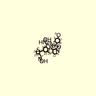 COc1ccc(S(=O)(=O)c2ncccc2N(C)c2c(C)cc(-c3sccc3C=NO)cc2C(=O)NO)cc1